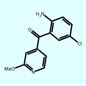 COc1cc(C(=O)c2cc(Cl)ccc2N)ccn1